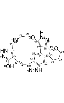 Oc1n[nH]c2c1C=Cc1n[nH]c3ccc(cc13)-c1c(C3CCCCO3)n[nH]c1OCCNC2